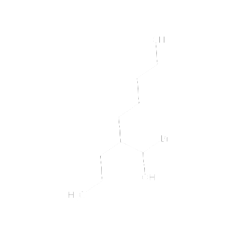 CCCCCC(CCC)C(O)Br